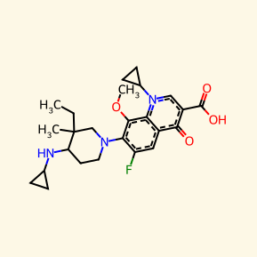 CCC1(C)CN(c2c(F)cc3c(=O)c(C(=O)O)cn(C4CC4)c3c2OC)CCC1NC1CC1